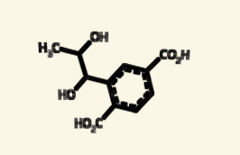 CC(O)C(O)c1cc(C(=O)O)ccc1C(=O)O